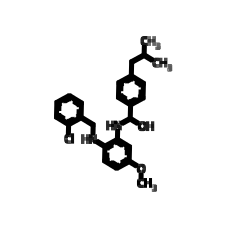 COc1ccc(NCc2ccccc2Cl)c(NC(O)c2ccc(CC(C)C)cc2)c1